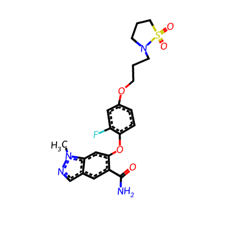 Cn1ncc2cc(C(N)=O)c(Oc3ccc(OCCCN4CCCS4(=O)=O)cc3F)cc21